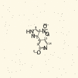 COc1cc(-c2n[nH]cc2[N+](=O)[O-])ccn1